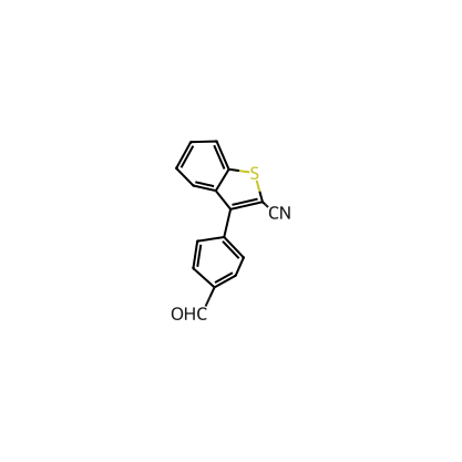 N#Cc1sc2ccccc2c1-c1ccc(C=O)cc1